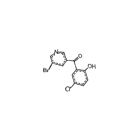 O=C(c1cncc(Br)c1)c1cc(Cl)ccc1O